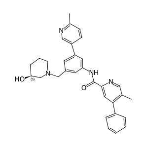 Cc1ccc(-c2cc(CN3CCC[C@H](O)C3)cc(NC(=O)c3cc(-c4ccccc4)c(C)cn3)c2)cn1